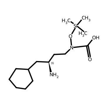 C[Si](C)(C)ON(CC[C@@H](N)CC1CCCCC1)C(=O)O